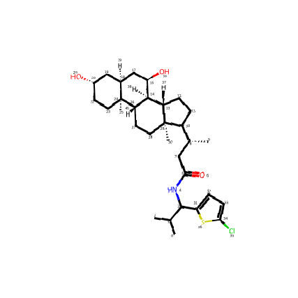 CC(C)C(NC(=O)C[C@@H](C)C1CC[C@H]2[C@@H]3[C@H](O)C[C@@H]4C[C@@H](O)CC[C@]4(C)[C@H]3CC[C@]12C)c1ccc(Cl)s1